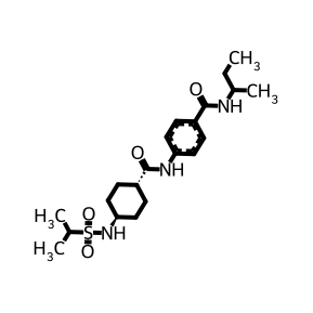 CCC(C)NC(=O)c1ccc(NC(=O)[C@H]2CC[C@H](NS(=O)(=O)C(C)C)CC2)cc1